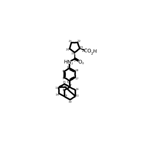 O=C(Nc1ccc(C23CC4CC(CC(C4)C2)C3)cc1)[C@H]1CCC[C@H]1C(=O)O